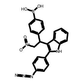 [N-]=[N+]=Nc1ccc(-c2[nH]c3ccccc3c2C(C[N+](=O)[O-])c2ccc(B(O)O)cc2)cc1